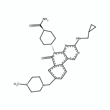 CN1CCN(Cc2ccc3c(c2)c(=O)n([C@H]2CC[C@H](C(N)=O)CC2)c2nc(NCC4CC4)ncc32)CC1